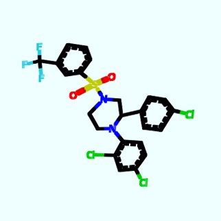 O=S(=O)(c1cccc(C(F)(F)F)c1)N1CCN(c2ccc(Cl)cc2Cl)C(c2ccc(Cl)cc2)C1